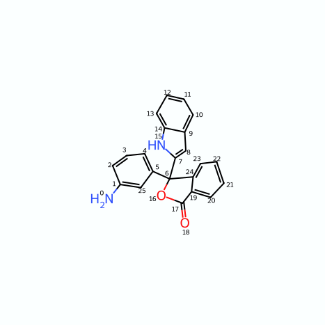 Nc1cccc(C2(c3cc4ccccc4[nH]3)OC(=O)c3ccccc32)c1